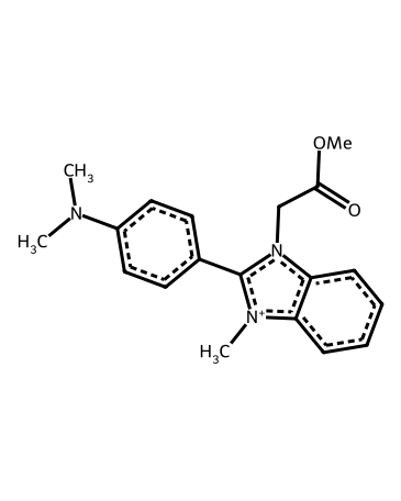 COC(=O)Cn1c(-c2ccc(N(C)C)cc2)[n+](C)c2ccccc21